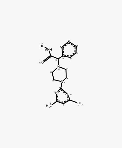 Cc1cc(C)nc(N2CCN(C(C(=O)NO)c3ccccc3)CC2)n1